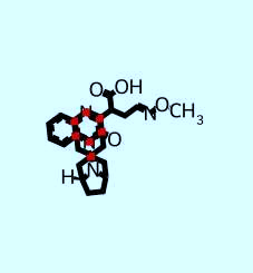 CON=CCC(C(=O)O)c1nc2ccccc2n([C@@H]2CC3CC[C@H](C2)N3C2CC3CCCC(C3)C2)c1=O